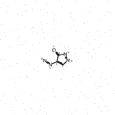 [N]=NC1=CN=NC1=O